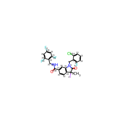 CC1(I)C(=O)N(Cc2c(F)cccc2Cl)c2cc(C(=O)NCc3c(F)cc(F)cc3F)ccc21